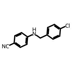 N#Cc1ccc(NCc2ccc(Cl)cc2)cc1